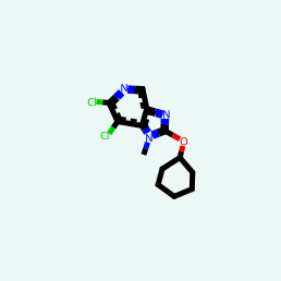 Cn1c(OC2CCCCC2)nc2cnc(Cl)c(Cl)c21